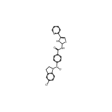 O=C(NC1NC(c2ccccn2)=CS1)c1ccc([S+]([O-])N2CCc3cc(Cl)ccc32)cc1